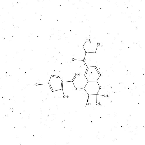 CCN(CC)[S+]([O-])c1ccc2c(c1)[C@@H](OC(=N)c1ccc(Cl)cc1O)[C@H](O)C(C)(C)O2